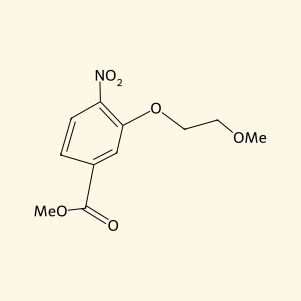 COCCOc1cc(C(=O)OC)ccc1[N+](=O)[O-]